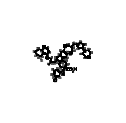 C[C@@H](COc1ccnc2c1[C@H](C)CCC2)C[C@H]1Cc2cc3c(cc2C12CCC(Nc1cccc(Cl)c1)(C(=O)O)CC2)OCC(CN1CCC(N2CCOCC2)C1)CO3